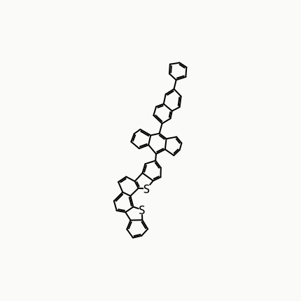 c1ccc(-c2ccc3cc(-c4c5ccccc5c(-c5ccc6sc7c(ccc8ccc9c%10ccccc%10sc9c87)c6c5)c5ccccc45)ccc3c2)cc1